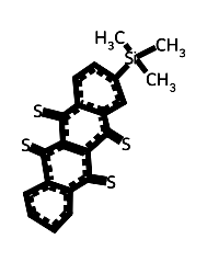 C[Si](C)(C)c1ccc2c(=S)c3c(=S)c4ccccc4c(=S)c=3c(=S)c2c1